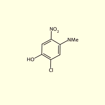 CNc1cc(Cl)c(O)cc1[N+](=O)[O-]